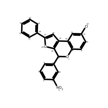 O=[N+]([O-])c1cccc(C2Oc3ccc(Cl)cc3-c3cc(-c4ccccc4)oc32)c1